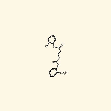 CCOC(=O)c1ccccc1OC(=O)CCCC(=O)Oc1ccccc1Cl